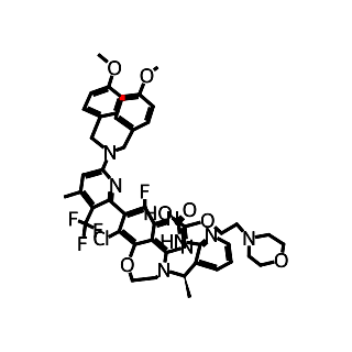 COc1ccc(CN(Cc2ccc(OC)cc2)c2cc(C)c(C(F)(F)F)c(-c3c(Cl)c4c5c(nc(OCCN6CCOCC6)nc5c3F)N([C@H](C)c3cccnc3NC(=O)O)CCO4)n2)cc1